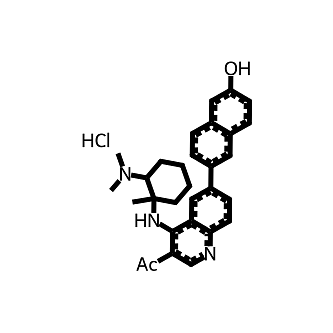 CC(=O)c1cnc2ccc(-c3ccc4cc(O)ccc4c3)cc2c1NC1(C)CCCCC1N(C)C.Cl